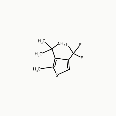 Cc1scc(C(F)(F)F)c1C(C)(C)C